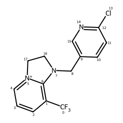 FC(F)(F)c1ccc[n+]2c1N(Cc1ccc(Cl)nc1)CC2